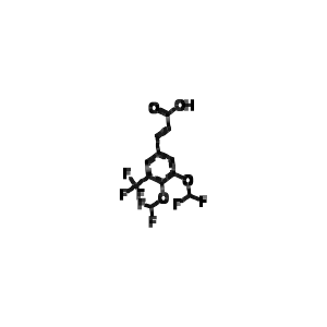 O=C(O)/C=C/c1cc(OC(F)F)c(OC(F)F)c(C(F)(F)F)c1